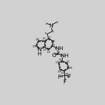 CN(C)CCc1cc(NC(=O)Nc2ccc(C(F)(F)F)cc2)cc2[nH]ccc12